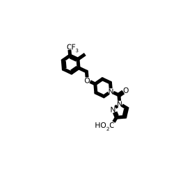 Cc1c(COC2CCN(C(=O)n3ccc(C(=O)O)n3)CC2)cccc1C(F)(F)F